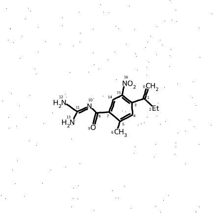 C=C(CC)c1cc(C)c(C(=O)N=C(N)N)cc1[N+](=O)[O-]